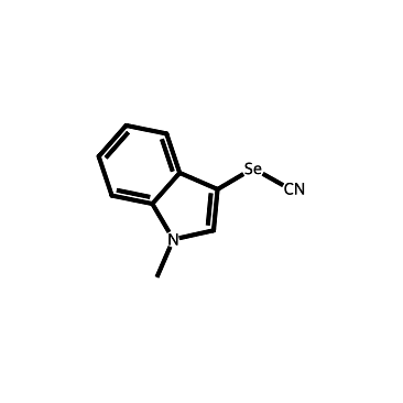 Cn1cc([Se]C#N)c2ccccc21